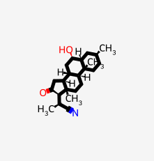 C[C@H]1CC[C@@]2(C)[C@H](C1)[C@@H](O)C[C@@H]1[C@@H]2CC[C@]2(C)[C@@H]([C@H](C)C#N)C(=O)C[C@@H]12